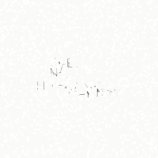 CCc1scnc1CC(C)Sc1ccc(CNC(C)C)cc1